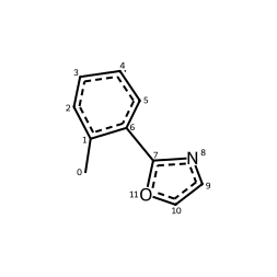 Cc1cc[c]cc1-c1ncco1